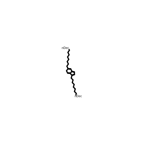 CCCCCCCCCCCCCCCCCCC1=CC2=CC=C(CCCCCCCCCCCCCCCCCC)C2=CC1